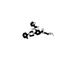 Cc1ccccc1N1CCN(c2ccc(C(=O)NCCN)cc2NC(=O)c2ccco2)CC1